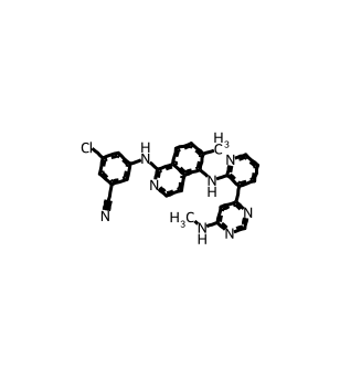 CNc1cc(-c2cccnc2Nc2c(C)ccc3c(Nc4cc(Cl)cc(C#N)c4)nccc23)ncn1